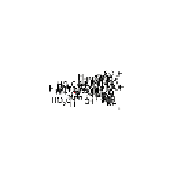 C[C@H](N)C(=O)N1CCC[C@H]1C(=O)NCC(=O)N[C@H](C(=O)N[C@@H](C)C(=O)N[C@@H](CC(=O)O)C(=O)N[C@@H](CC(=O)O)C(=O)N1CCC[C@H]1C(=O)N[C@@H](CC(=O)O)C(=O)N[C@@H](Cc1ccccc1)C(=O)N[C@@H](Cc1c[nH]cn1)C(=O)N[C@@H](C)C(=O)N[C@@H](CC(=O)O)C(=O)N[C@@H](C)C(=O)N1CCC[C@H]1C(=O)N[C@@H](CCCNC(=N)N)C(=O)O)[C@@H](C)O